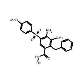 COc1ccc(S(=O)(=O)c2cc(C(=O)NO)c(Cc3ccccc3)c(OC)c2N)cc1